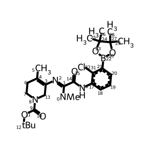 CN/C(=N\C1=C(C)CCN(C(=O)OC(C)(C)C)C1)C(=O)Nc1cccc(B2OC(C)(C)C(C)(C)O2)c1Cl